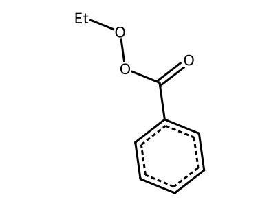 CCOOC(=O)c1ccccc1